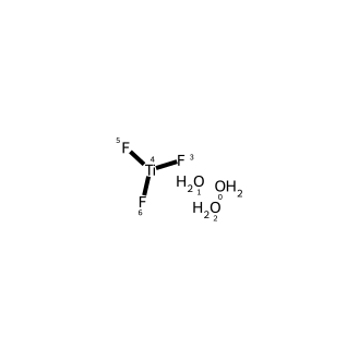 O.O.O.[F][Ti]([F])[F]